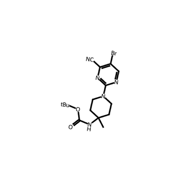 CC1(NC(=O)OC(C)(C)C)CCN(c2ncc(Br)c(C#N)n2)CC1